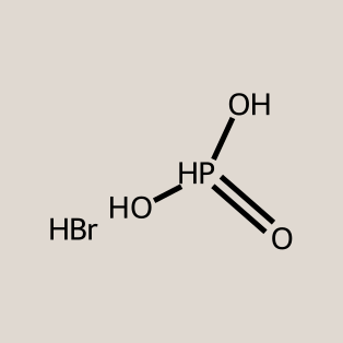 Br.O=[PH](O)O